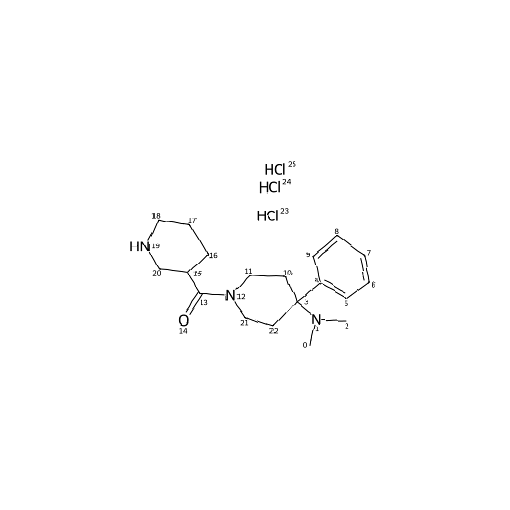 CN(C)C1(c2ccccc2)CCN(C(=O)C2CCCNC2)CC1.Cl.Cl.Cl